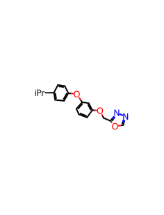 CC(C)c1ccc(Oc2cccc(OCc3nnco3)c2)cc1